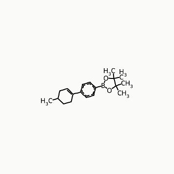 CC1CC=C(c2ccc(B3OC(C)(C)C(C)(C)O3)cc2)CC1